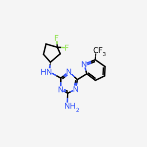 Nc1nc(N[C@H]2CCC(F)(F)C2)nc(-c2cccc(C(F)(F)F)n2)n1